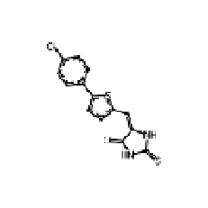 O=C1NC(=S)NC1=Cc1ccc(-c2ccc(Cl)cc2)s1